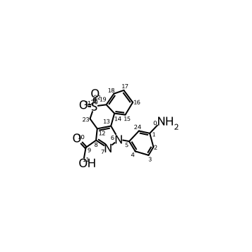 Nc1cccc(-n2nc(C(=O)O)c3c2-c2ccccc2S(=O)(=O)C3)c1